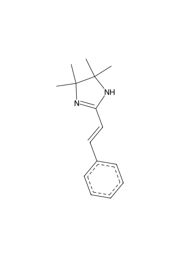 CC1(C)N=C(C=Cc2ccccc2)NC1(C)C